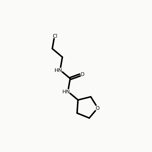 O=C(NCCCl)NC1CCOC1